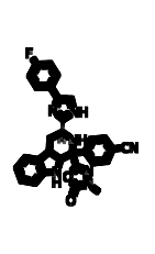 Cn1nc(C2(c3ccc(C#N)cc3)N[C@@H](c3nc(-c4ccc(F)cc4)c[nH]3)CC3c4ccccc4NC32)oc1=O